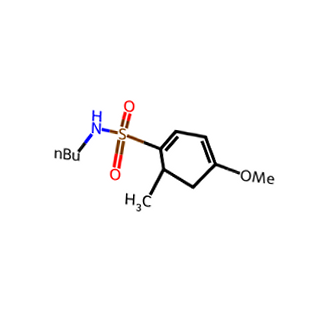 CCCCNS(=O)(=O)C1=CC=C(OC)CC1C